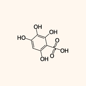 O=S(=O)(O)c1c(O)cc(O)c(O)c1O